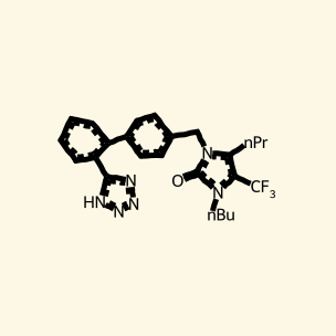 CCCCn1c(C(F)(F)F)c(CCC)n(Cc2ccc(-c3ccccc3-c3nnn[nH]3)cc2)c1=O